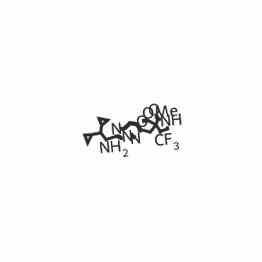 COC(=O)C1(Cc2ccc3nc([C@@H](N)C(C4CC4)C4CC4)cn3n2)C(=O)NCC1C(F)(F)F